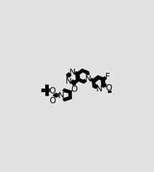 COc1ncc(N2CCc3ncnc(O[C@H]4CCN(C(=O)OC(C)(C)C)C4)c3C2)cc1F